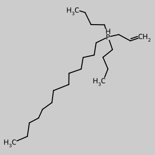 C=CC[PH](CCCC)(CCCC)CCCCCCCCCCCCC